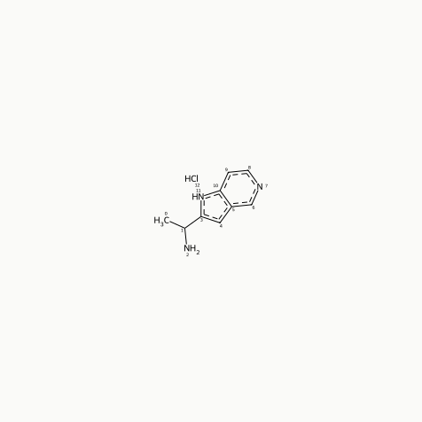 CC(N)c1cc2cnccc2[nH]1.Cl